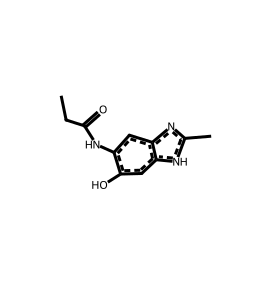 CCC(=O)Nc1cc2nc(C)[nH]c2cc1O